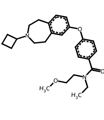 CCN(CCOC)C(=O)c1ccc(Oc2ccc3c(c2)CCN(C2CCC2)CC3)cc1